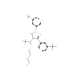 OC1C(C(OCCCCI)C(F)(F)F)C(c2cncc(C(F)(F)F)c2)=NN1c1cncc(C(F)(F)F)c1